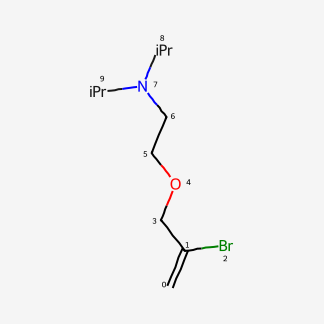 C=C(Br)COCCN(C(C)C)C(C)C